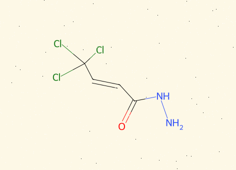 NNC(=O)C=CC(Cl)(Cl)Cl